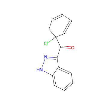 O=C(c1n[nH]c2ccccc12)C1(Cl)C=CC=CC1